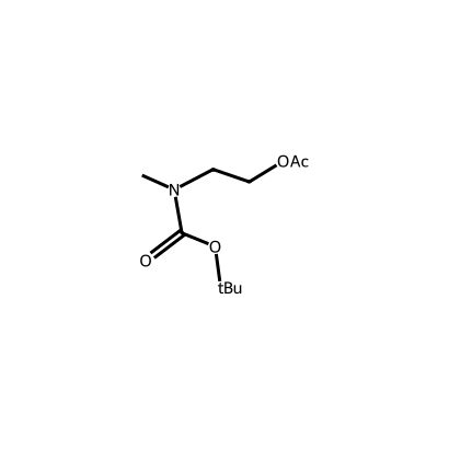 CC(=O)OCCN(C)C(=O)OC(C)(C)C